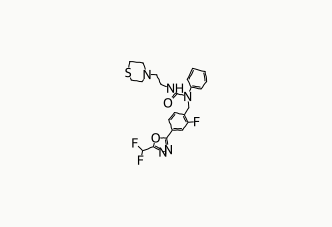 O=C(NCCN1CCSCC1)N(Cc1ccc(-c2nnc(C(F)F)o2)cc1F)c1ccccc1